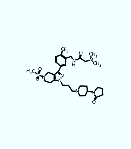 CN(C)CC(=O)NCc1cc(-c2nn(CCCN3CCC(N4CCCC4=O)CC3)c3c2CN(S(C)(=O)=O)CC3)ccc1C(F)(F)F